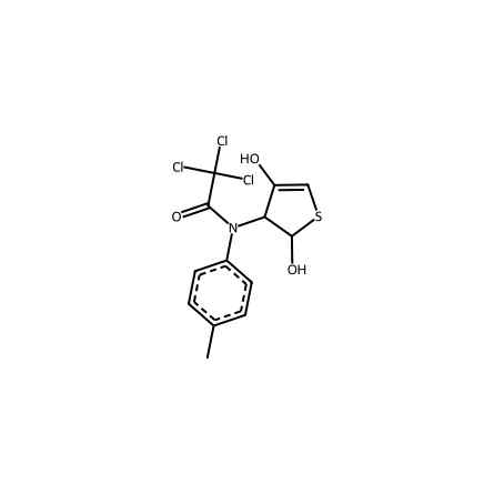 Cc1ccc(N(C(=O)C(Cl)(Cl)Cl)C2C(O)=CSC2O)cc1